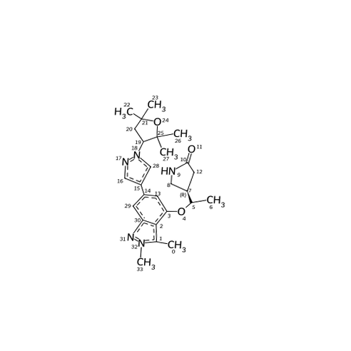 Cc1c2c(OC(C)[C@H]3CNC(=O)C3)cc(-c3cnn(C4CC(C)(C)OC4(C)C)c3)cc2nn1C